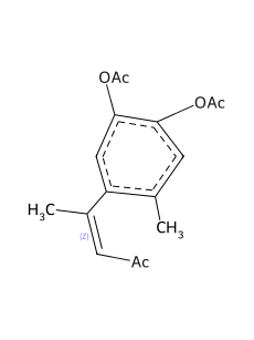 CC(=O)/C=C(/C)c1cc(OC(C)=O)c(OC(C)=O)cc1C